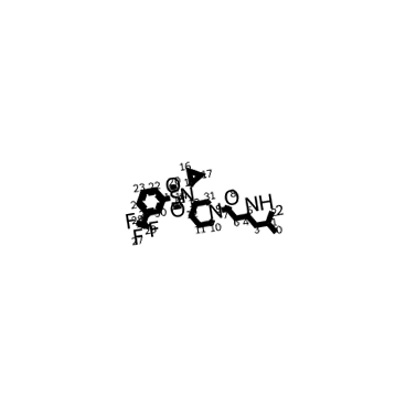 CC(C)C[C@H](N)CC(=O)N1CCCC(N(C2CC2)S(=O)(=O)c2cccc(C(F)(F)F)c2)C1